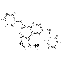 Cn1ncc(Br)c1-c1cc(Nc2ccccc2)ccc1OCc1ccccc1